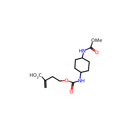 C=C(CCOC(=O)NC1CCC(NC(=O)OC)CC1)C(=O)O